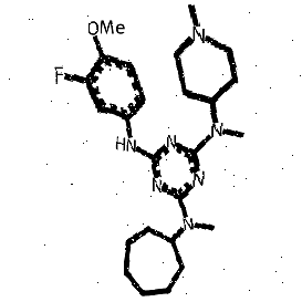 COc1ccc(Nc2nc(N(C)C3CCCCCC3)nc(N(C)C3CCN(C)CC3)n2)cc1F